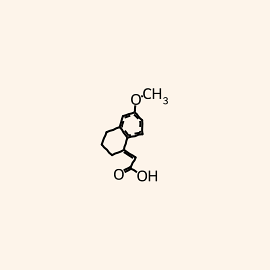 COc1ccc2c(c1)CCCC2=CC(=O)O